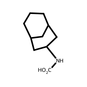 O=C(O)NC1CC2CCCC(C2)C1